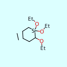 CC.CCOC1CCCC[Si]1(OCC)OCC